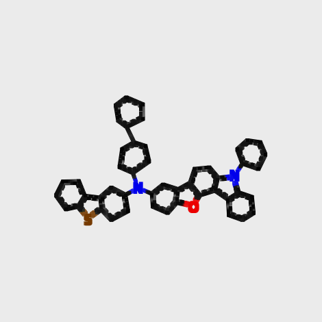 c1ccc(-c2ccc(N(c3ccc4oc5c(ccc6c5c5ccccc5n6-c5ccccc5)c4c3)c3ccc4sc5ccccc5c4c3)cc2)cc1